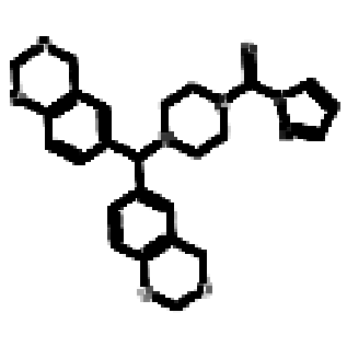 O=C(N1CCN(C(c2ccc3c(c2)COCO3)c2ccc3c(c2)COCO3)CC1)n1cccn1